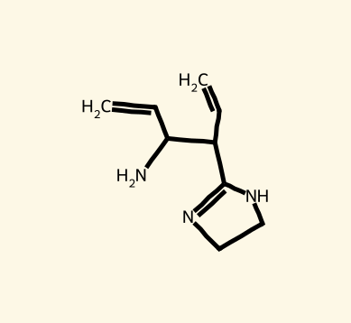 C=CC(N)C(C=C)C1=NCCN1